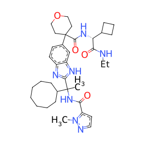 CCNC(=O)[C@H](NC(=O)C1(c2ccc3nc(C(C)(NC(=O)c4ccnn4C)C4CCCCCCC4)[nH]c3c2)CCOCC1)C1CCC1